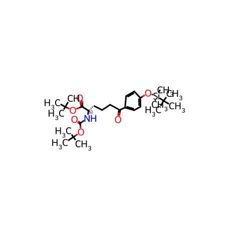 CC(C)(C)OC(=O)N[C@@H](CCCC(=O)c1ccc(O[Si](C)(C)C(C)(C)C)cc1)C(=O)OC(C)(C)C